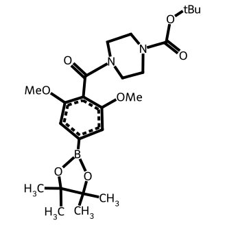 COc1cc(B2OC(C)(C)C(C)(C)O2)cc(OC)c1C(=O)N1CCN(C(=O)OC(C)(C)C)CC1